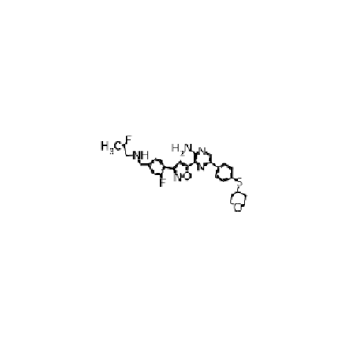 CC(F)CNCc1ccc(-c2cc(-c3nc(-c4ccc(SC5CCOCC5)cc4)cnc3N)on2)c(F)c1